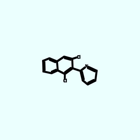 Clc1cc2ccccc2c(Cl)c1-c1ccccn1